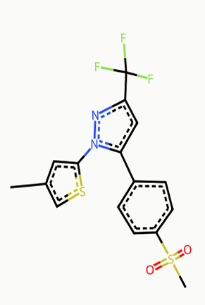 Cc1csc(-n2nc(C(F)(F)F)cc2-c2ccc(S(C)(=O)=O)cc2)c1